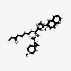 CCC(=O)CCCCC[C@H](NC(=O)[C@H]1CC12CCN(C)CC2)c1ncc(-c2ccc3ncccc3c2)[nH]1